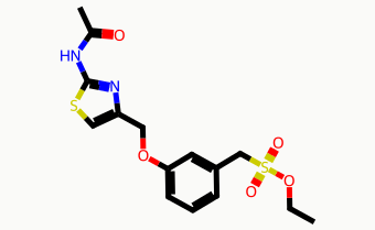 CCOS(=O)(=O)Cc1cccc(OCc2csc(NC(C)=O)n2)c1